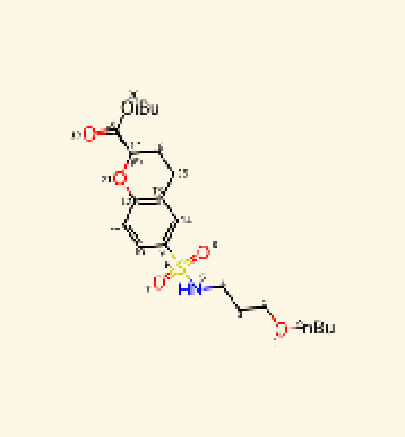 CCCCOCCCNS(=O)(=O)c1ccc2c(c1)CC[C@H](C(=O)OCC(C)C)O2